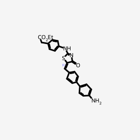 CCOC(=O)Cc1ccc(NC2=NC(=O)/C(=C\c3ccc(-c4ccc(N)cc4)cc3)S2)cc1